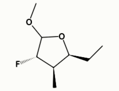 CC[C@@H]1OC(OC)[C@@H](F)[C@@H]1C